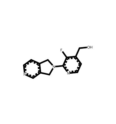 OCc1ccnc(N2Cc3ccncc3C2)c1F